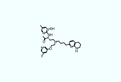 CC(=O)[C@H](CCN(CCCCc1ccc2c(n1)NCCC2)CCOc1cncc(F)c1)Nc1ncc(C)c[n+]1O